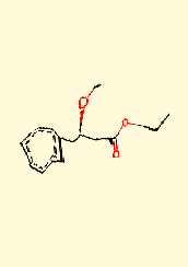 CCOC(=O)[C@H](OC)c1ccccc1